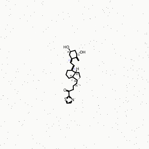 C=C1/C(=C\C=C2/CCC[C@]3(C)[C@@H]([C@H](C)CCC(=O)c4nccs4)CC[C@@H]23)C[C@@H](O)C[C@@H]1O